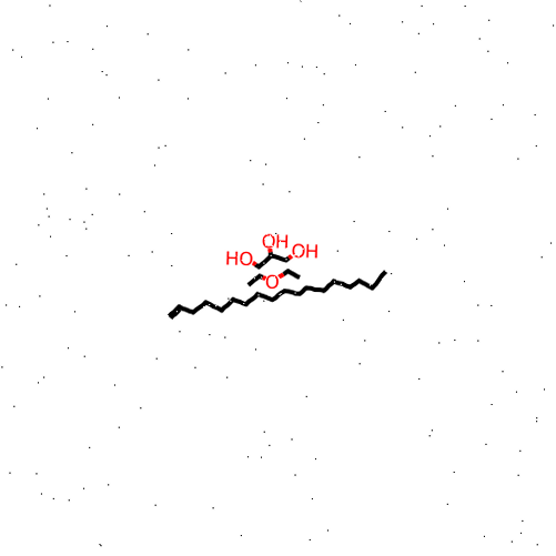 C=CCCCCCCCCCCCCCCCC.CCOCC.OCC(O)CO